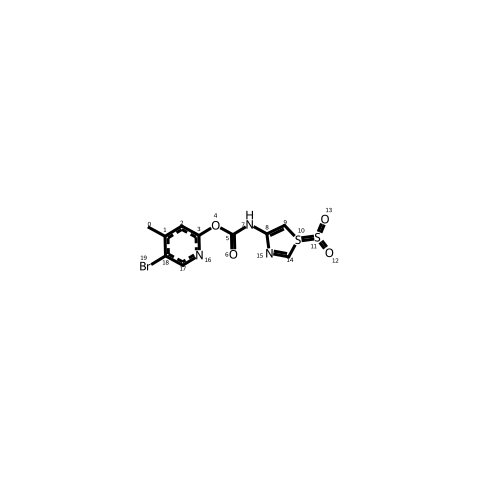 Cc1cc(OC(=O)NC2=CS(=S(=O)=O)C=N2)ncc1Br